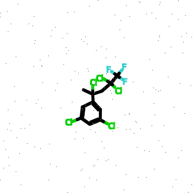 CC(Cl)(CC(Cl)(Cl)C(F)(F)F)c1cc(Cl)cc(Cl)c1